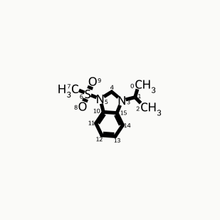 CC(C)N1CN(S(C)(=O)=O)c2ccccc21